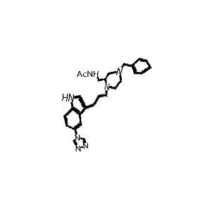 CC(=O)NCC1CN(Cc2ccccc2)CCN1CCCc1c[nH]c2ccc(-n3cnnc3)cc12